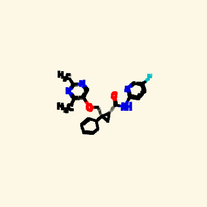 Cc1ncc(OC[C@@]2(C3C=CC=CC3)C[C@H]2C(=O)Nc2ccc(F)cn2)c(C)n1